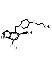 C#Cc1cc(C)c2[nH]ccc2c1CN1CCC(OCCC)CC1